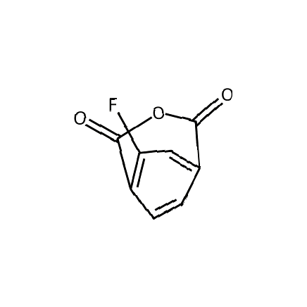 O=c1oc(=O)c2ccc1cc2F